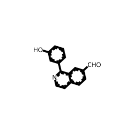 O=Cc1ccc2ccnc(-c3cccc(O)c3)c2c1